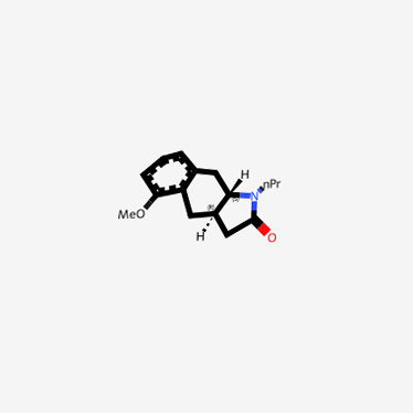 CCCN1C(=O)C[C@H]2Cc3c(cccc3OC)C[C@@H]21